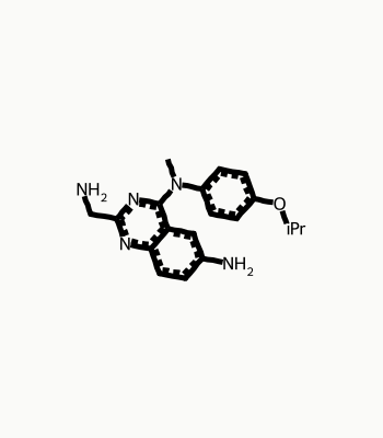 CC(C)Oc1ccc(N(C)c2nc(CN)nc3ccc(N)cc23)cc1